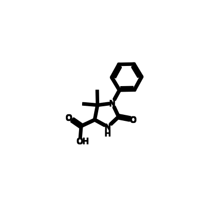 CC1(C)C(C(=O)O)NC(=O)N1c1ccccc1